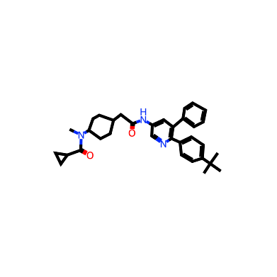 CN(C(=O)C1CC1)C1CCC(CC(=O)Nc2cnc(-c3ccc(C(C)(C)C)cc3)c(-c3ccccc3)c2)CC1